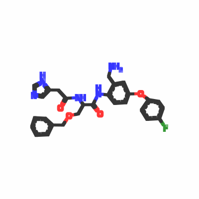 NCc1cc(Oc2ccc(F)cc2)ccc1NC(=O)C(COCc1ccccc1)NC(=O)Cc1cnc[nH]1